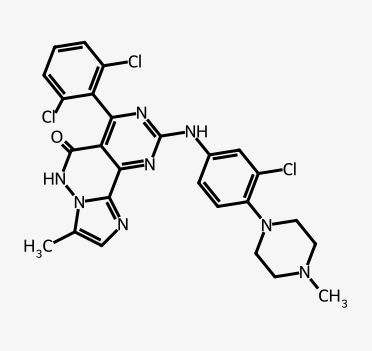 Cc1cnc2c3nc(Nc4ccc(N5CCN(C)CC5)c(Cl)c4)nc(-c4c(Cl)cccc4Cl)c3c(=O)[nH]n12